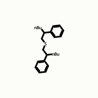 CCCCC(CSCC(CCCC)c1ccccc1)c1ccccc1